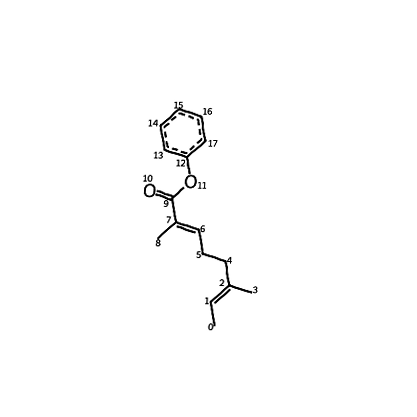 CC=C(C)CCC=C(C)C(=O)Oc1ccccc1